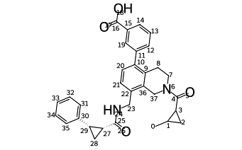 CC1CC1C(=O)N1CCc2c(-c3cccc(C(=O)O)c3)ccc(CNC(=O)[C@@H]3C[C@@H]3c3ccccc3)c2C1